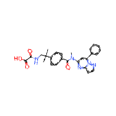 CN(C(=O)c1ccc(C(C)(C)CNC(=O)C(=O)O)cc1)c1cc(-c2ccccc2)n2nccc2n1